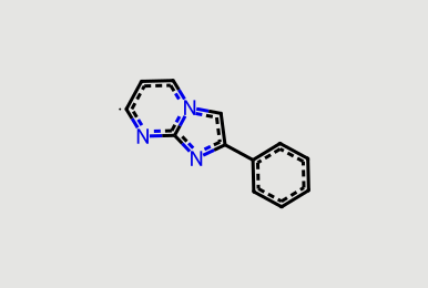 [c]1ccn2cc(-c3ccccc3)nc2n1